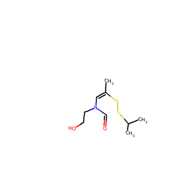 CC(=CN(C=O)CCO)SSC(C)C